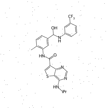 Cc1ccc(C(O)Nc2cccc(C(F)(F)F)c2)cc1NC(=O)c1csc2c(NC(C)C)ncnc12